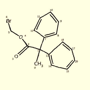 CC(C(=O)OCBr)(c1ccccc1)c1ccccc1